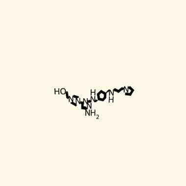 Nc1cc(N2CCN(CCO)CC2)nc(NC[C@H]2CC[C@H](CNCCCN3CCCC3)CC2)n1